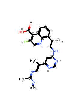 C=N/C(C)=N\C=C(/C)c1cc(NC[C@@H](C)c2cccc3c(C(=O)O)c(F)cnc23)ncn1